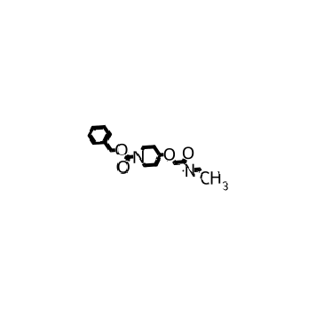 CC[N]C(=O)COC1CCN(C(=O)OCc2ccccc2)CC1